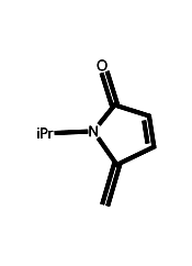 C=C1C=CC(=O)N1C(C)C